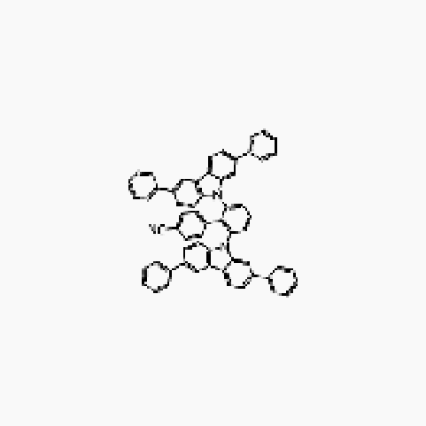 N#Cc1ccc(-c2c(-n3c4ccc(-c5ccccc5)cc4c4ccc(-c5ccccc5)cc43)cccc2-n2c3ccc(-c4ccccc4)cc3c3ccc(-c4ccccc4)cc32)cc1